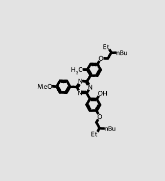 CCCCC(CC)COc1ccc(-c2nc(-c3ccc(OC)cc3)nc(-c3ccc(OCC(CC)CCCC)cc3O)n2)c(C)c1